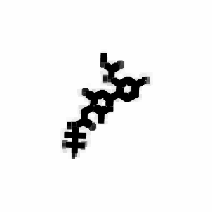 COC(=O)Nc1cc(Cl)ccc1-c1cc(=O)n(CC(=O)NC(C)(C)C(F)(F)F)c(C)n1